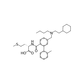 CCCCN(CCC1CCCCC1)Cc1ccc(C(=O)N[C@@H](CCSC)C(=O)O)c(-c2ccccc2C)c1